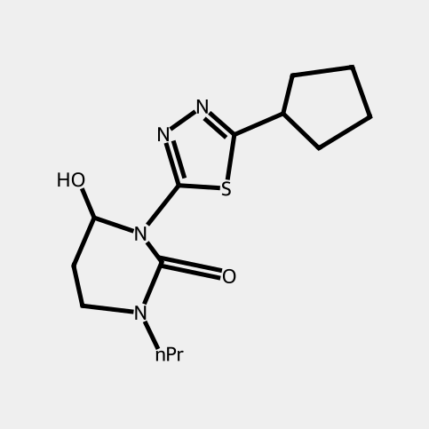 CCCN1CCC(O)N(c2nnc(C3CCCC3)s2)C1=O